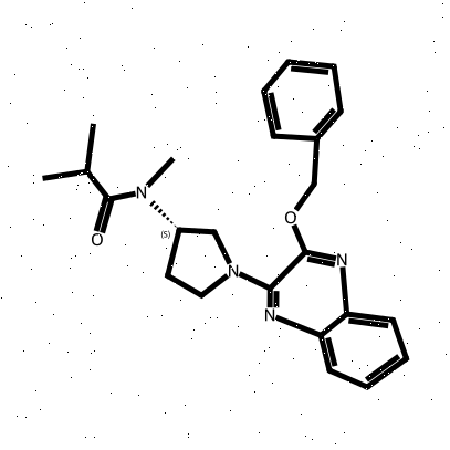 CC(C)C(=O)N(C)[C@H]1CCN(c2nc3ccccc3nc2OCc2ccccc2)C1